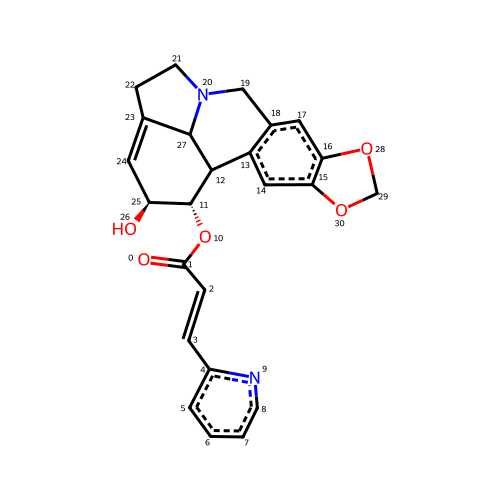 O=C(/C=C/c1ccccn1)O[C@H]1C2c3cc4c(cc3CN3CCC(=C[C@@H]1O)C23)OCO4